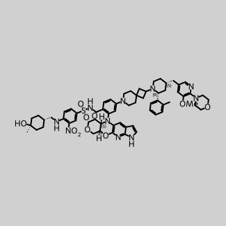 COc1cc(C[C@H]2CCN(C3CC4(CCN(c5ccc(C(=O)NS(=O)(=O)c6ccc(NC[C@H]7CC[C@](C)(O)CC7)c([N+](=O)[O-])c6)c(N6c7cc8cc[nH]c8nc7O[C@H]7COCC[C@@H]76)c5)CC4)C3)[C@@H](c3ccccc3C)C2)cnc1N1CCOCC1